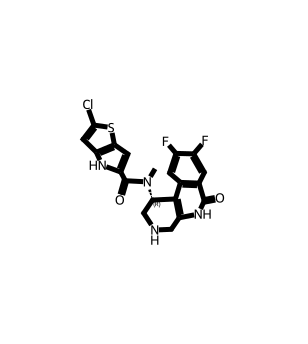 CN(C(=O)c1cc2sc(Cl)cc2[nH]1)[C@H]1CNCc2[nH]c(=O)c3cc(F)c(F)cc3c21